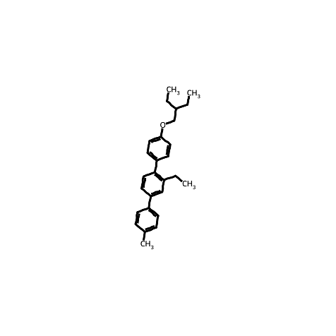 CCc1cc(-c2ccc(C)cc2)ccc1-c1ccc(OCC(CC)CC)cc1